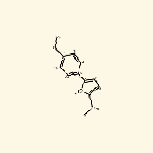 CCc1ccc(-c2ccc(CC)o2)cc1